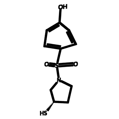 O=S(=O)(c1ccc(O)cc1)N1CC[C@H](S)C1